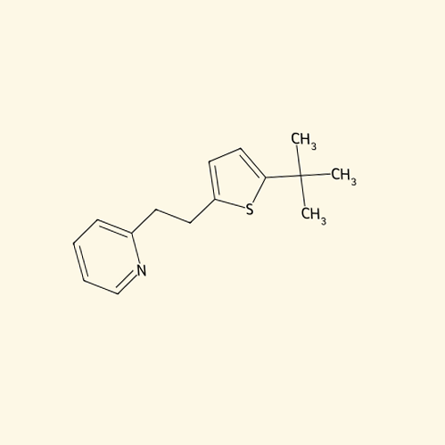 CC(C)(C)c1ccc(CCc2ccccn2)s1